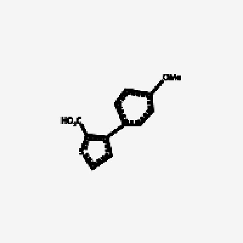 COc1ccc(-c2ccsc2C(=O)O)cc1